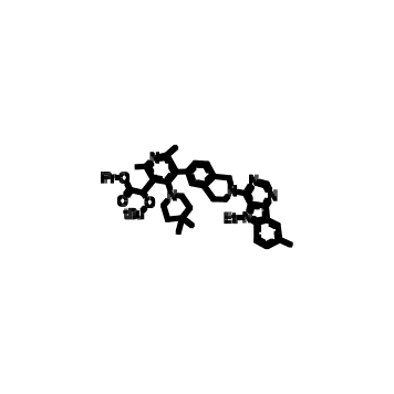 CCn1c2ccc(C)cc2c2ncnc(N3CCc4cc(-c5c(C)nc(C)c(C(OC(C)(C)C)C(=O)OC(C)C)c5N5CCC(C)(C)CC5)ccc4C3)c21